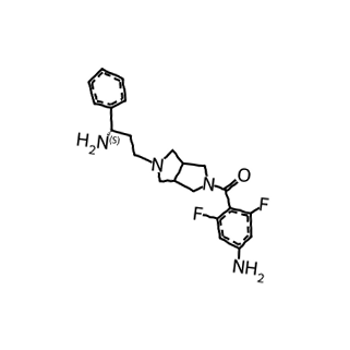 Nc1cc(F)c(C(=O)N2CC3CN(CC[C@H](N)c4ccccc4)CC3C2)c(F)c1